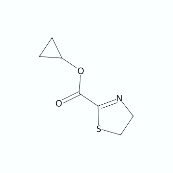 O=C(OC1CC1)C1=NCCS1